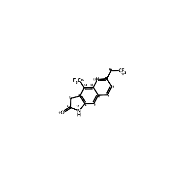 O=C1Cc2c(cc3ccc(CC(F)(F)F)nc3c2C(F)(F)F)N1